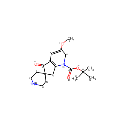 COC1=CC2=C(CC3(CCNCC3)C2=O)N(C(=O)OC(C)(C)C)C1